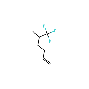 C=CCCC(C)C(F)(F)F